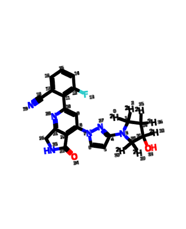 [2H]C1([2H])N(c2ccn(-c3cc(-c4c(F)cccc4C#N)nc4c3C(=O)NC4)n2)C([2H])([2H])C([2H])(O)C1([2H])[2H]